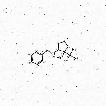 OC1(C(F)(F)F)CCCC1OCc1ccccc1